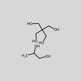 CC(O)CO.OCC(CO)(CO)CO